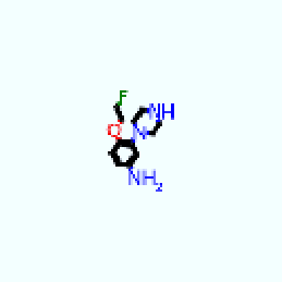 Nc1ccc(OCCF)c(N2CCNCC2)c1